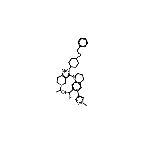 CC(=O)N1CCc2nn(C3CCC(OCc4ccccc4)CC3)c(N3CCCc4cc(-c5cnn(C)c5)c(C(F)F)cc43)c2C1